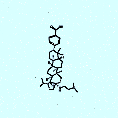 CC(C)[C@@H]1CC[C@]2(NCCN(C)C)CC[C@]3(C)[C@H](CC[C@@H]4[C@@]5(C)CC[C@H](c6ccc(C(=O)O)cc6)C(C)(C)[C@@H]5CC[C@]43C)[C@@H]12